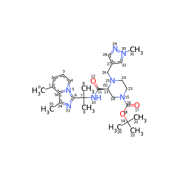 Cc1cccn2c(C(C)(C)NC(=O)[C@@H]3CN(C(=O)OC(C)(C)C)CCN3Cc3cnn(C)c3)nc(C)c12